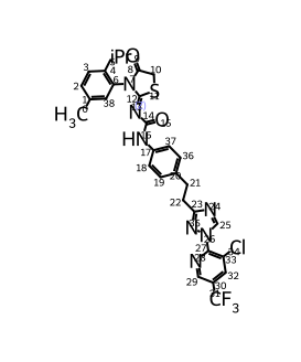 Cc1ccc(C(C)C)c(N2C(=O)CS/C2=N\C(=O)Nc2ccc(CCc3ncn(-c4ncc(C(F)(F)F)cc4Cl)n3)cc2)c1